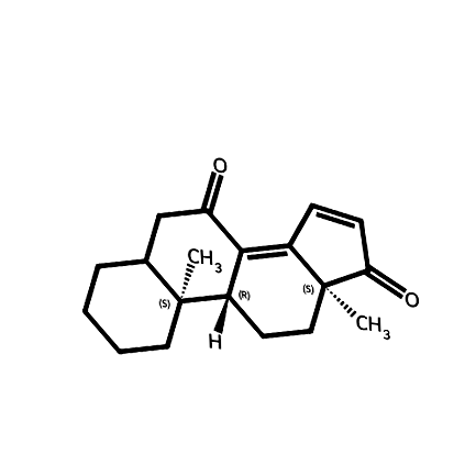 C[C@]12CC[C@H]3C(=C1C=CC2=O)C(=O)CC1CCCC[C@@]13C